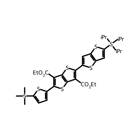 CCOC(=O)c1c(-c2ccc(S(C)(C)C)s2)sc2c(C(=O)OCC)c(-c3cc4sc(S(C(C)C)(C(C)C)C(C)C)cc4s3)sc12